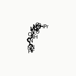 CC(C)C(=O)Cn1c(=O)c2c(ncn2[C@@H](C)C(=O)Nc2cccc(-c3cnc(C(C)(F)F)nc3)n2)n(C)c1=O